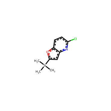 C[Si](C)(C)c1cc2nc(Cl)ccc2o1